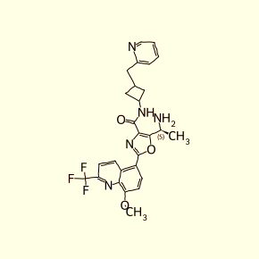 COc1ccc(-c2nc(C(=O)NC3CC(Cc4ccccn4)C3)c([C@H](C)N)o2)c2ccc(C(F)(F)F)nc12